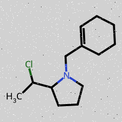 CC(Cl)C1CCCN1CC1=CCCCC1